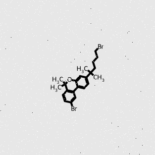 CC(C)(CCCCBr)c1ccc2c(c1)OC(C)(C)c1ccc(Br)cc1-2